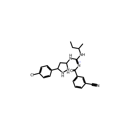 CCC(C)N/C(=N/C(=O)c1cccc(C#N)c1)NC1CC(c2ccc(Cl)cc2)NN1